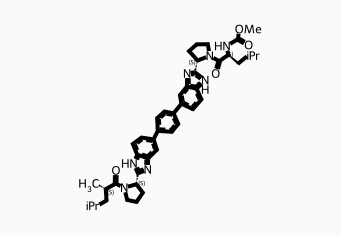 COC(=O)N[C@@H](CC(C)C)C(=O)N1CCC[C@H]1c1nc2cc(-c3ccc(-c4ccc5[nH]c([C@@H]6CCCN6C(=O)[C@@H](C)CC(C)C)nc5c4)cc3)ccc2[nH]1